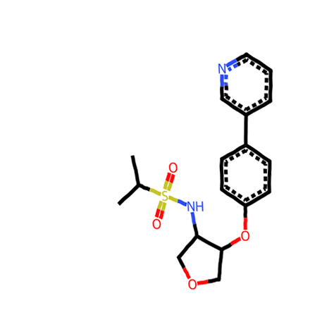 CC(C)S(=O)(=O)NC1COCC1Oc1ccc(-c2cccnc2)cc1